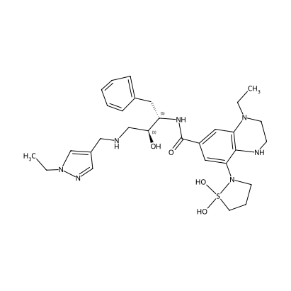 CCN1CCNc2c1cc(C(=O)N[C@@H](Cc1ccccc1)[C@@H](O)CNCc1cnn(CC)c1)cc2N1CCCS1(O)O